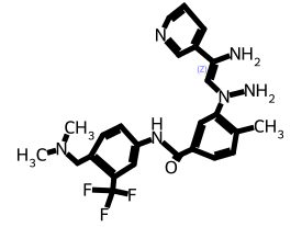 Cc1ccc(C(=O)Nc2ccc(CN(C)C)c(C(F)(F)F)c2)cc1N(N)/C=C(\N)c1cccnc1